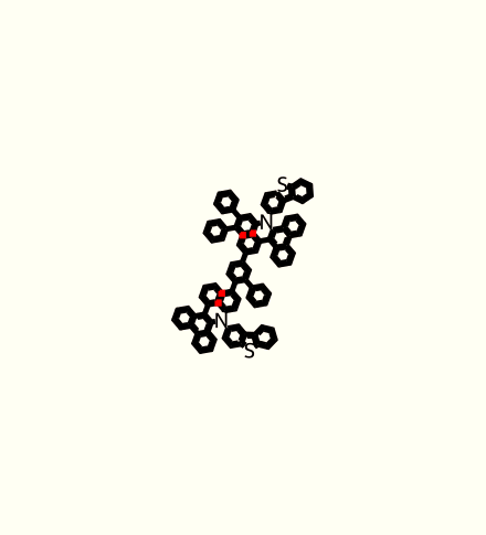 c1ccc(-c2ccc(N(c3ccc4sc5ccccc5c4c3)c3c(-c4cccc(-c5ccc(-c6ccc(N(c7ccc8sc9ccccc9c8c7)c7c(-c8ccccc8)c8ccccc8c8ccccc78)cc6)c(-c6ccccc6)c5)c4)c4ccccc4c4ccccc34)cc2-c2ccccc2)cc1